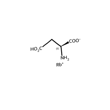 N[C@@H](CC(=O)O)C(=O)[O-].[Rb+]